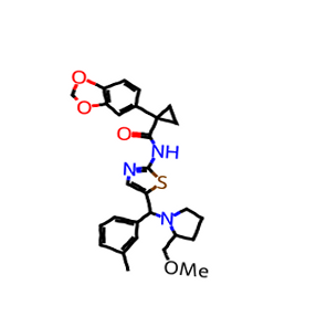 COCC1CCCN1C(c1cccc(C)c1)c1cnc(NC(=O)C2(c3ccc4c(c3)OCO4)CC2)s1